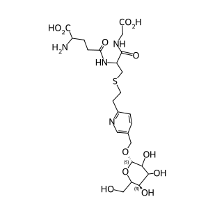 NC(CCC(=O)NC(CSCCc1ccc(CO[C@H]2OC(CO)[C@H](O)C(O)C2O)cn1)C(=O)NCC(=O)O)C(=O)O